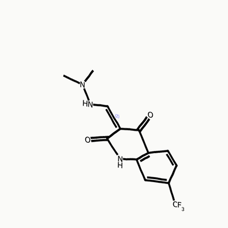 CN(C)N/C=C1\C(=O)Nc2cc(C(F)(F)F)ccc2C1=O